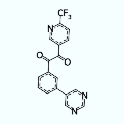 O=C(C(=O)c1cccc(-c2cncnc2)c1)c1ccc(C(F)(F)F)nc1